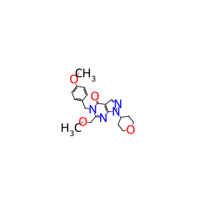 COCc1nc2c(cnn2C2CCOCC2)c(=O)n1Cc1ccc(OC)cc1